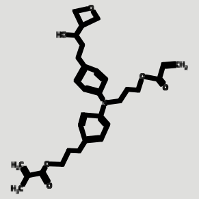 C=CC(=O)OCCCN(c1ccc(CCCOC(=O)C(=C)C)cc1)c1ccc(CCC(O)C2COC2)cc1